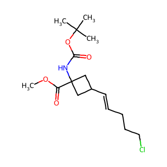 COC(=O)C1(NC(=O)OC(C)(C)C)CC(C=CCCCCl)C1